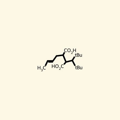 CC=CCC(C(=O)O)C(C(=O)O)C(C(C)(C)C)C(C)(C)C